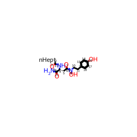 CCCCCCCC(=O)N[C@H](CC(=O)N(O)CCc1ccc(O)cc1)C(N)=O